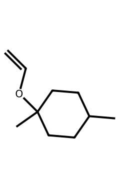 C=COC1(C)CCC(C)CC1